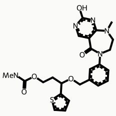 CNC(=O)OCCC(OCc1cccc(N2CCN(C)c3nc(O)ncc3C2=O)c1)c1cccs1